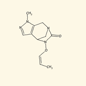 C/C=C\ON1C(=O)N2Cc3c(cnn3C)C1C2